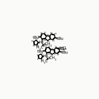 C[Si](C)=[Hf]([C]1=CC=CC1)[c]1c(C(C)(C)C)ccc2c1Cc1cc(C(C)(C)C)ccc1-2.C[Si](C)=[Hf]([C]1=CC=CC1)[c]1c(C(C)(C)C)ccc2c1Cc1cc(C(C)(C)C)ccc1-2.Cl.Cl